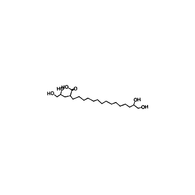 O=C(O)C(CCCCCCCCCCCCCC(O)CO)CC(O)CO